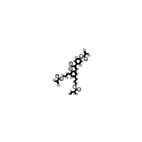 C=CC(C)C(=O)OCCCc1cc(CCCOC(=O)C(=C)C)c2oc(=O)c(-c3ccc(OC(=O)C(=C)C)cc3)cc2c1